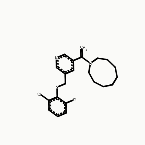 C=C(c1cncc(CSc2c(Cl)cccc2Cl)c1)N1CCCCCCCC1